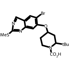 CSc1ncc2cc(Br)c(OC3CCN(C(=O)O)C(C(C)(C)C)C3)cc2n1